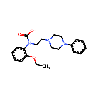 CCOc1ccccc1N(CCN1CCN(c2ccccc2)CC1)C(=O)O